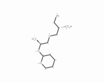 CC(C)C[C@@H](COC[C@H](C)OC1CCCCO1)C(=O)O